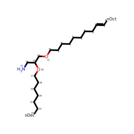 CCCCCCCCC=CCCCCCCCCOCC(CN)OCCCCCCCCCCCCCCCC